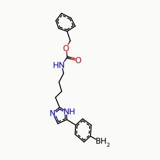 Bc1ccc(-c2cnc(CCCCNC(=O)OCc3ccccc3)[nH]2)cc1